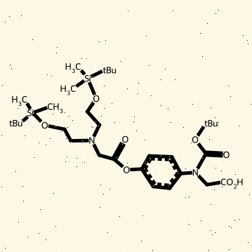 CC(C)(C)OC(=O)N(CC(=O)O)c1ccc(OC(=O)CN(CCO[Si](C)(C)C(C)(C)C)CCO[Si](C)(C)C(C)(C)C)cc1